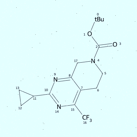 CC(C)(C)OC(=O)N1CCc2c(nc(C3CC3)nc2C(F)(F)F)C1